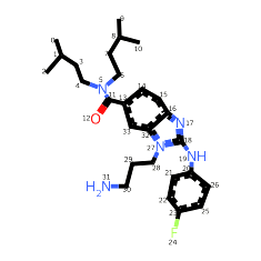 CC(C)CCN(CCC(C)C)C(=O)c1ccc2nc(Nc3ccc(F)cc3)n(CCCN)c2c1